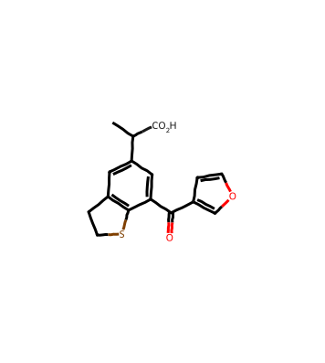 CC(C(=O)O)c1cc2c(c(C(=O)c3ccoc3)c1)SCC2